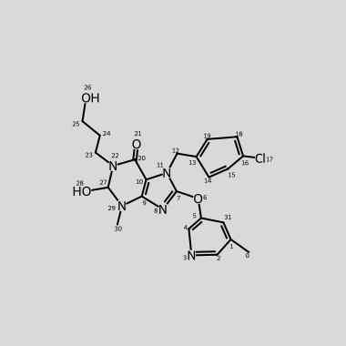 Cc1cncc(Oc2nc3c(n2Cc2ccc(Cl)cc2)C(=O)N(CCCO)C(O)N3C)c1